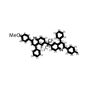 COc1ccc(-c2cc(-c3ccccc3)c3cc(C(c4ccc5nc(-c6ccc(C)cc6)cc(-c6ccccc6)c5c4)(C(F)(F)F)C(F)(F)F)ccc3n2)cc1